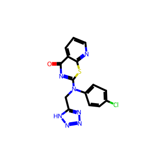 O=c1nc(N(Cc2nnn[nH]2)c2ccc(Cl)cc2)sc2ncccc12